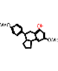 COc1ccc(C2Cc3c(O)cc(OC)cc3C3CCCC23)cc1